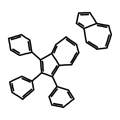 c1ccc(-c2c3cccccc-3c(-c3ccccc3)c2-c2ccccc2)cc1.c1ccc2cccc-2cc1